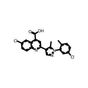 Cc1ccc(Cl)cc1-n1ncc(-c2cc(C(=O)O)c3cc(Cl)ccc3n2)c1C